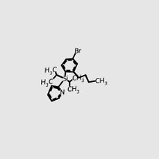 CCCCc1cc(Br)ccc1[Si](c1ccccn1)(C(C)C)C(C)C